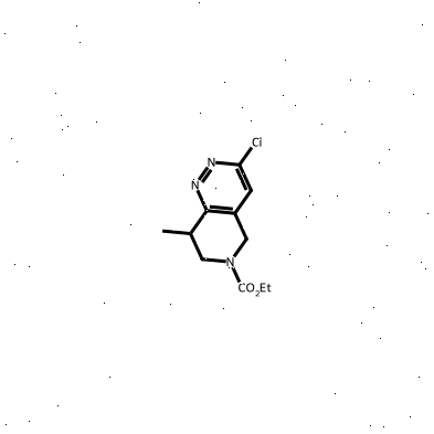 CCOC(=O)N1Cc2cc(Cl)nnc2C(C)C1